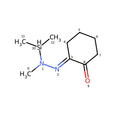 CN(N=C1CCCCC1=O)[SiH](C)C